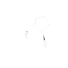 C#C[C@@H]1CCCN1C(=O)CC